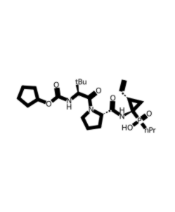 C=C[C@@H]1C[C@]1(NC(=O)[C@@H]1CCCN1C(=O)[C@@H](NC(=O)OC1CCCC1)C(C)(C)C)P(=O)(O)CCC